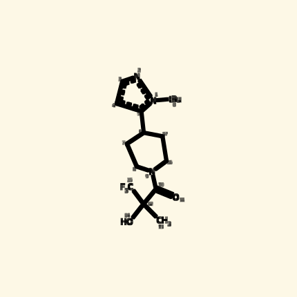 CC(C)(C)n1nccc1C1CCN(C(=O)C(C)(O)C(F)(F)F)CC1